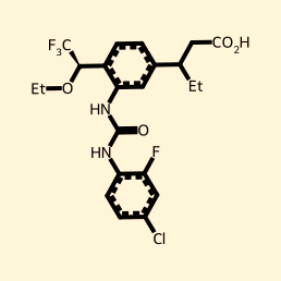 CCO[C@H](c1ccc(C(CC)CC(=O)O)cc1NC(=O)Nc1ccc(Cl)cc1F)C(F)(F)F